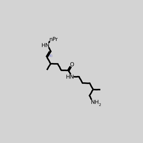 CCCN/C=C/C(C)CCC(=O)NCCCC(C)CN